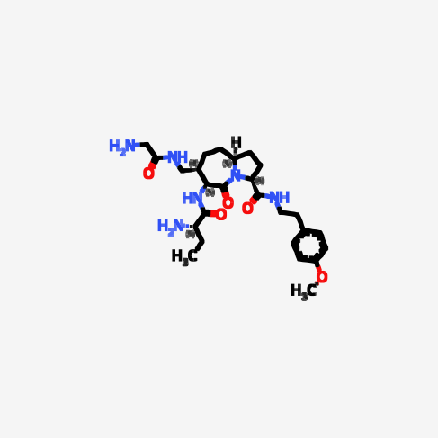 CC[C@H](N)C(=O)N[C@@H]1C(=O)N2[C@@H](CC[C@@H]1CNC(=O)CN)CC[C@H]2C(=O)NCCc1ccc(OC)cc1